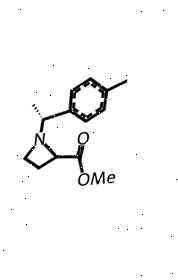 COC(=O)C1CCN1[C@H](C)c1ccc(C)cc1